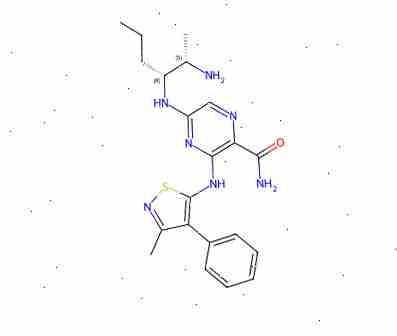 CCC[C@@H](Nc1cnc(C(N)=O)c(Nc2snc(C)c2-c2ccccc2)n1)[C@H](C)N